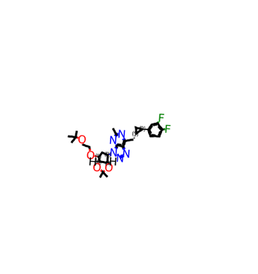 Cc1nc(C[C@@H]2C[C@H]2c2ccc(F)c(F)c2)c2nnn([C@@H]3C[C@H](OCCOC(C)(C)C)[C@H]4OC(C)(C)O[C@H]43)c2n1